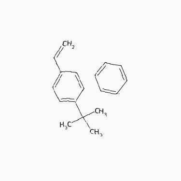 C=Cc1ccc(C(C)(C)C)cc1.[c]1ccccc1